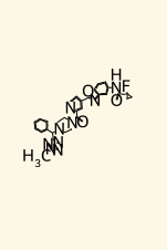 Cn1nnc(C(c2ccccc2)N2CCN(C(=O)c3cc(-c4nc5cc(NC(=O)C6(F)CC6)ccc5o4)ccn3)CC2)n1